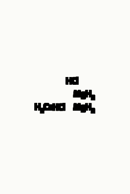 Cl.Cl.[CaH2].[MgH2].[MgH2]